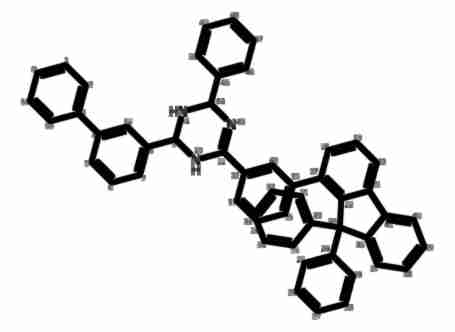 c1ccc(-c2cccc(C3NC(c4cccc(-c5cccc6c5C(c5ccccc5)(c5ccccc5)c5ccccc5-6)c4)=NC(c4ccccc4)N3)c2)cc1